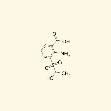 CC(O)S(=O)(=O)c1cccc(C(=O)O)c1N